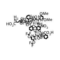 COc1cc(OC)nc(NC(=O)NS(=O)(=O)c2ncccc2C(=O)N(C)C)n1.CP(=O)(O)CCC(N)C(=O)O.Nc1c([N+](=O)[O-])ccc(Oc2ccccc2)c1Cl.O=C(Nc1nc(OC(F)F)cc(OC(F)F)n1)NS(=O)(=O)c1ccccc1C(=O)O